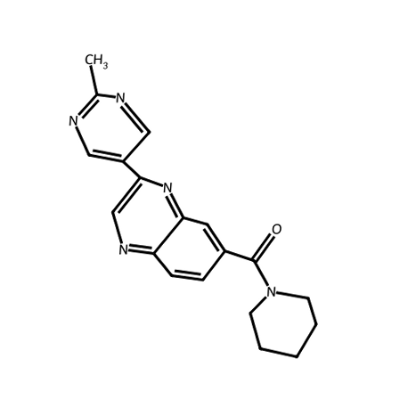 Cc1ncc(-c2cnc3ccc(C(=O)N4CCCCC4)cc3n2)cn1